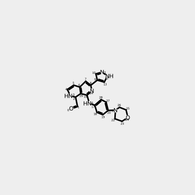 O=CC1NC=Cc2cc(-c3cn[nH]c3)nc(Nc3ccc(N4CCOCC4)cc3)c21